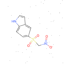 O=[N+]([O-])CS(=O)(=O)c1ccc2[nH]ccc2c1